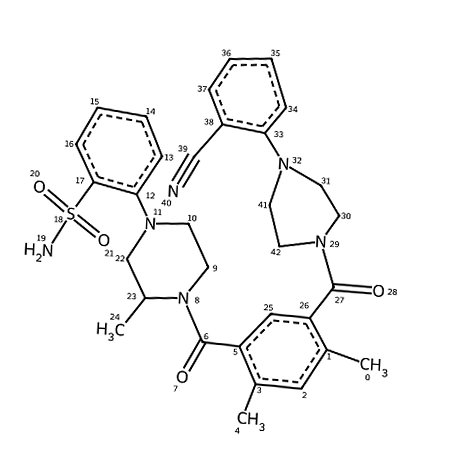 Cc1cc(C)c(C(=O)N2CCN(c3ccccc3S(N)(=O)=O)CC2C)cc1C(=O)N1CCN(c2ccccc2C#N)CC1